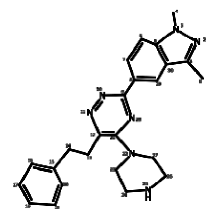 Cc1nn(C)c2ccc(-c3nnc(CCc4ccccc4)c(N4CCNCC4)n3)cc12